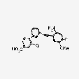 COc1cc(C#Cc2cccc(-c3ccc(C(=O)O)cc3Cl)c2)c(N)cc1F